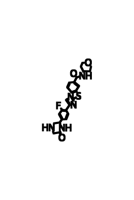 O=C1CNCC(c2ccc(-c3cn4c(n3)sc3cc(C(=O)NC5CCOCC5)ccc34)c(F)c2)N1